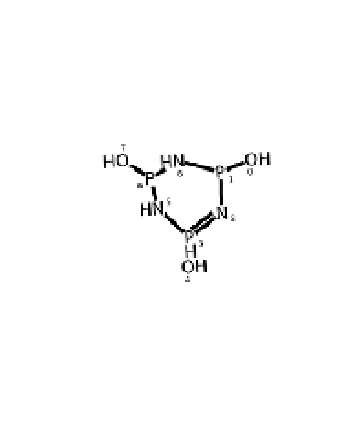 OP1N=[PH](O)NP(O)N1